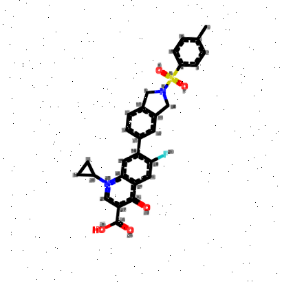 Cc1ccc(S(=O)(=O)N2Cc3ccc(-c4cc5c(cc4F)c(=O)c(C(=O)O)cn5C4CC4)cc3C2)cc1